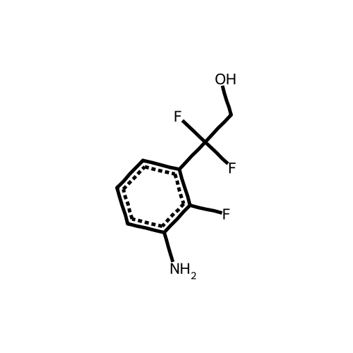 Nc1cccc(C(F)(F)CO)c1F